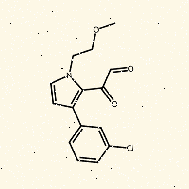 COCCn1ccc(-c2cccc(Cl)c2)c1C(=O)[C]=O